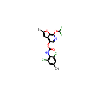 CCc1cc2c(OC(=O)Nc3c(Cl)cc(C#N)cc3Cl)cnc(OC(F)F)c2o1